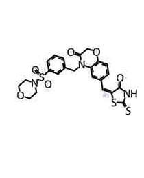 O=C1NC(=S)S/C1=C/c1ccc2c(c1)N(Cc1cccc(S(=O)(=O)N3CCOCC3)c1)C(=O)CO2